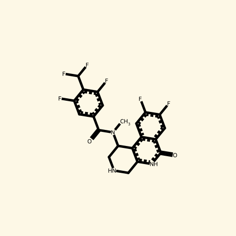 CN(C(=O)c1cc(F)c(C(F)F)c(F)c1)C1CNCc2[nH]c(=O)c3cc(F)c(F)cc3c21